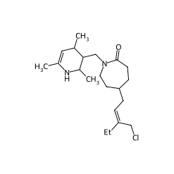 CC/C(=C/CC1CCC(=O)N(CC2C(C)C=C(C)NC2C)CC1)CCl